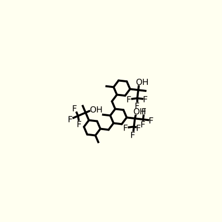 CC1CCC(C(C)(O)C(F)(F)F)CC1CC1CC(C(O)(C(F)(F)F)C(F)(F)F)CC(CC2CC(C(C)(O)C(F)(F)F)CCC2C)C1C